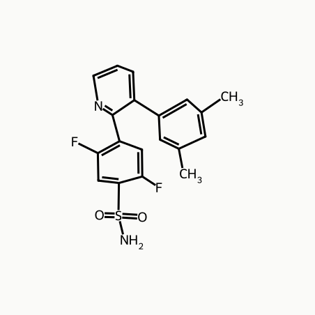 Cc1cc(C)cc(-c2cccnc2-c2cc(F)c(S(N)(=O)=O)cc2F)c1